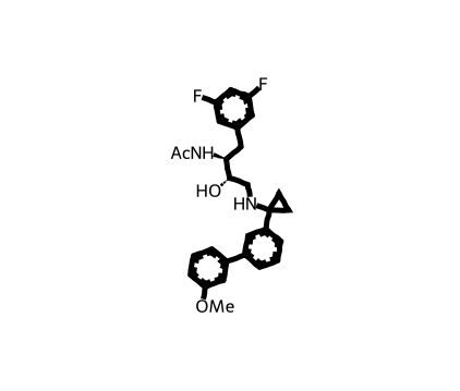 COc1cccc(-c2cccc(C3(NC[C@H](O)[C@H](Cc4cc(F)cc(F)c4)NC(C)=O)CC3)c2)c1